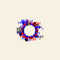 CCCC[C@H]1C(=O)N(C)[C@@H](CCCC)C(=O)N[C@@H](CCCNC(=N)N)C(=O)N[C@H](C(=O)NCC(N)=O)CSCC(=O)N[C@@H](Cc2ccc(O)cc2)C(=O)N(C)[C@@H](C)C(=O)N[C@@H](CCN)C(=O)N2CCC[C@H]2C(=O)N[C@@H](Cc2c[nH]cn2)C(=O)N[C@@H](CC(=O)O)C(=O)N2C[C@H](O)C[C@H]2C(=O)N[C@@H](Cc2c[nH]c3ccccc23)C(=O)N[C@@H](CO)C(=O)N[C@@H](Cc2c[nH]c3ccccc23)C(=O)N1C